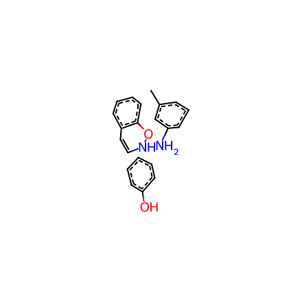 C1=Cc2ccccc2ON1.Cc1cccc(N)c1.Oc1ccccc1